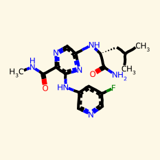 CNC(=O)c1ncc(N[C@H](CC(C)C)C(N)=O)nc1Nc1cncc(F)c1